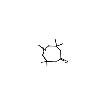 CN1CC(C)(C)CC(=O)CC(C)(C)C1